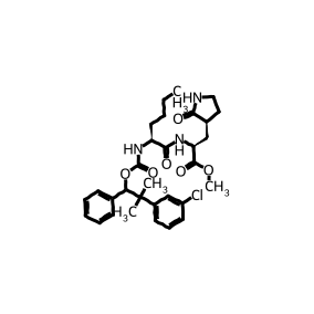 CCCC[C@H](NC(=O)OC(c1ccccc1)C(C)(C)c1cccc(Cl)c1)C(=O)N[C@@H](C[C@@H]1CCNC1=O)C(=O)OC